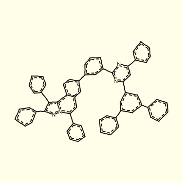 c1ccc(-c2cc(-c3ccccc3)cc(-c3cc(-c4ccccc4)nc(-c4cccc(-c5ccc6c(c5)cc(-c5ccccc5)n5nc(-c7ccccc7)c(-c7ccccc7)c65)c4)n3)c2)cc1